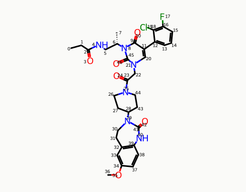 CCC(=O)NC[C@H](C)n1c(=O)c(-c2cccc(F)c2Cl)cn(CC(=O)N2CCC(N3CCc4cc(OC)ccc4NC3=O)CC2)c1=O